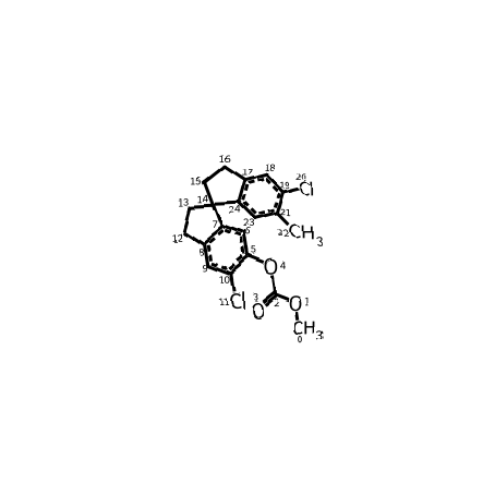 COC(=O)Oc1cc2c(cc1Cl)CCC21CCc2cc(Cl)c(C)cc21